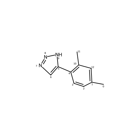 Cc1ccc(-c2cnn[nH]2)c(C)c1